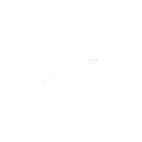 CCOCCOCC(C)NC